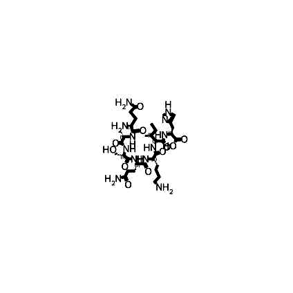 CC[C@H](C)[C@H](NC(=O)[C@H](CCCCN)NC(=O)[C@H](CCC(N)=O)NC(=O)[C@H](CO)NC(=O)[C@H](C)NC(=O)[C@@H](N)CCC(N)=O)C(=O)N[C@@H](Cc1c[nH]cn1)C(=O)O